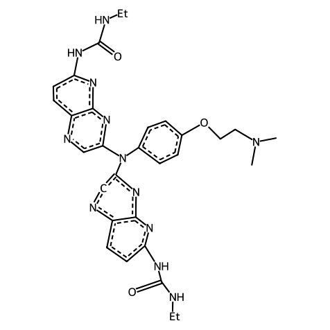 CCNC(=O)Nc1ccc2ncc(N(c3ccc(OCCN(C)C)cc3)c3cnc4ccc(NC(=O)NCC)nc4n3)nc2n1